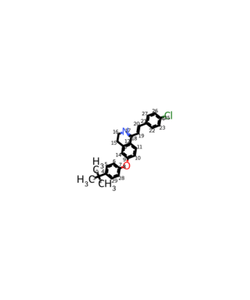 CC(C)(C)c1ccc(Oc2ccc3c(c2)CCN=C3C=Cc2ccc(Cl)cc2)cc1